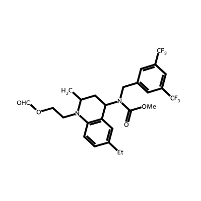 CCc1ccc2c(c1)C(N(Cc1cc(C(F)(F)F)cc(C(F)(F)F)c1)C(=O)OC)CC(C)N2CCOC=O